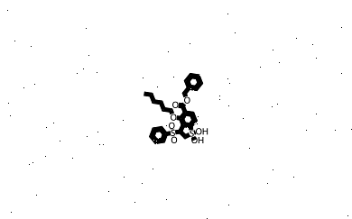 CCCCCCOc1c(C(=O)OCc2ccccc2)ccc2c1C(S(=O)(=O)c1ccccc1)CS2(O)O